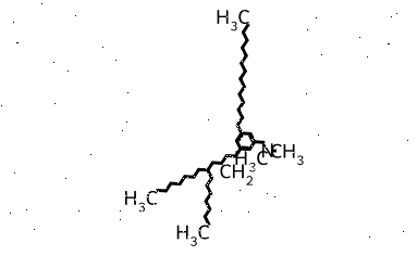 C=C(CCc1cc(CCCCCCCCCCCCCCC)cc(CN(C)C)c1)CC(CCCCCCCC)CCCCCCCC